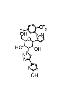 OC[C@H]1O[C@@H](c2ccnn2-c2cc(Cl)ccc2C(F)(F)F)[C@H](O)[C@@H](n2cc(-c3csc(O)n3)nn2)[C@H]1O